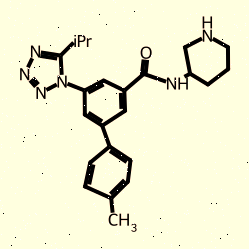 Cc1ccc(-c2cc(C(=O)NC3CCCNC3)cc(-n3nnnc3C(C)C)c2)cc1